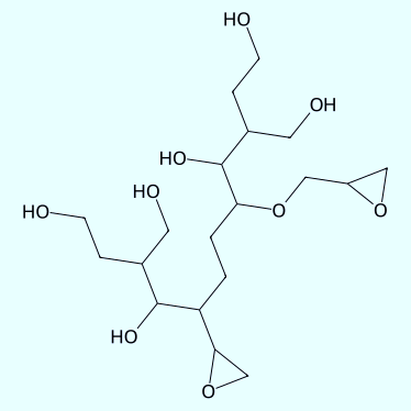 OCCC(CO)C(O)C(CCC(C1CO1)C(O)C(CO)CCO)OCC1CO1